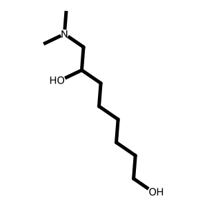 CN(C)CC(O)CCCCCCO